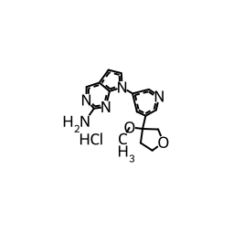 COC1(c2cncc(-n3ccc4cnc(N)nc43)c2)CCOC1.Cl